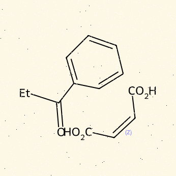 CCC(=O)c1ccccc1.O=C(O)/C=C\C(=O)O